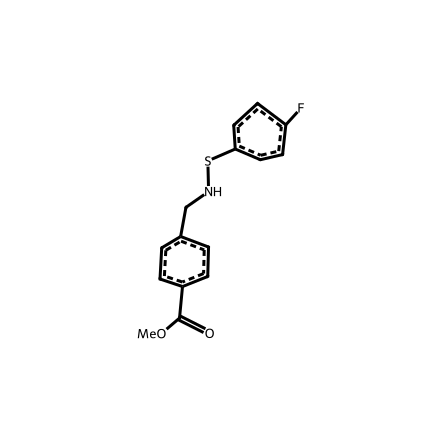 COC(=O)c1ccc(CNSc2ccc(F)cc2)cc1